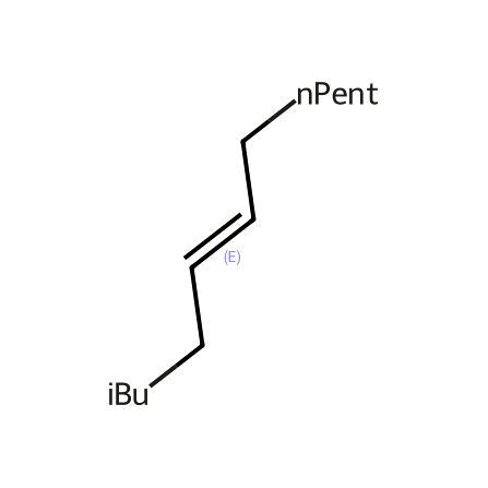 CCCCCC/C=C/CC(C)CC